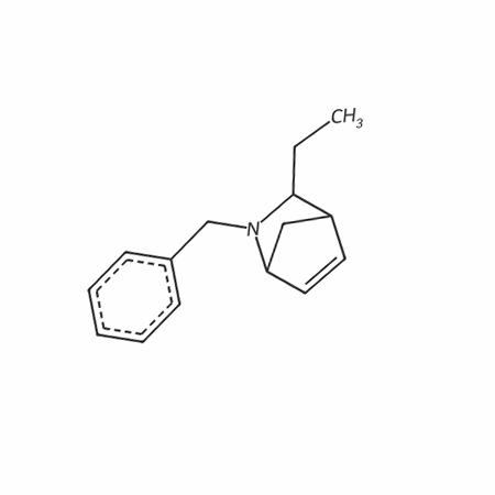 CCC1C2C=CC(C2)N1Cc1ccccc1